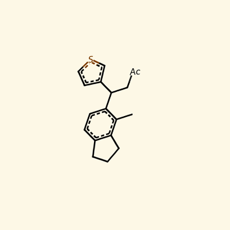 CC(=O)CC(c1ccsc1)c1ccc2c(c1C)CCC2